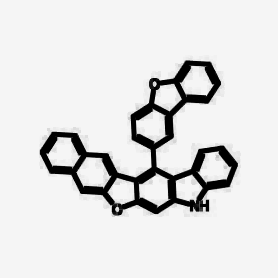 c1ccc2cc3c(cc2c1)oc1cc2[nH]c4ccccc4c2c(-c2ccc4oc5ccccc5c4c2)c13